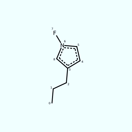 CCCc1ccn(F)c1